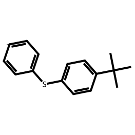 CC(C)(C)c1ccc(Sc2cc[c]cc2)cc1